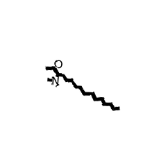 CCCCCCCCCCCCCC(C(C)=O)N(C)C